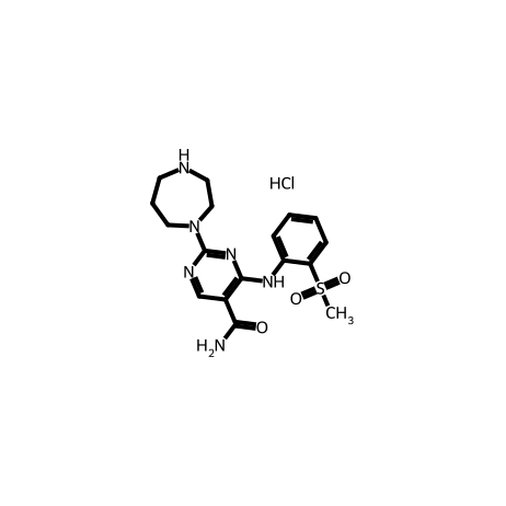 CS(=O)(=O)c1ccccc1Nc1nc(N2CCCNCC2)ncc1C(N)=O.Cl